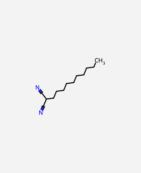 CCCCCCCCCCC(C#N)C#N